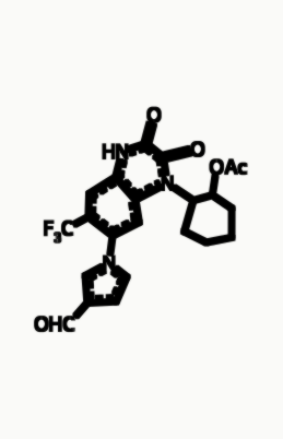 CC(=O)OC1CCCCC1n1c(=O)c(=O)[nH]c2cc(C(F)(F)F)c(-n3ccc(C=O)c3)cc21